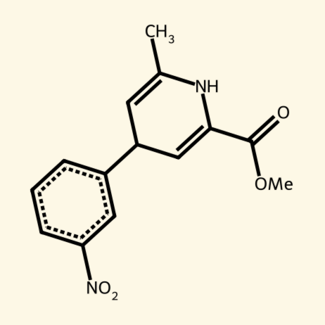 COC(=O)C1=CC(c2cccc([N+](=O)[O-])c2)C=C(C)N1